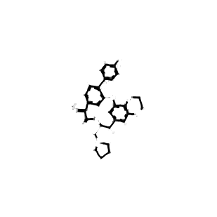 O=C(N[C@H](CN1CCCC1)[C@@H](O)c1cc(F)c2c(c1)OCCO2)/C(=N/O)c1ccc(-c2ccc(F)cc2)cc1